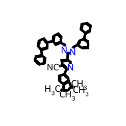 CC1(C)CC(C)(C)c2cc(-c3ncc(C(=N/Cc4cccc(-c5cccc(-c6ccccc6)c5)c4)/N=C/c4cccc(-c5ccccc5)c4)cc3C#N)ccc21